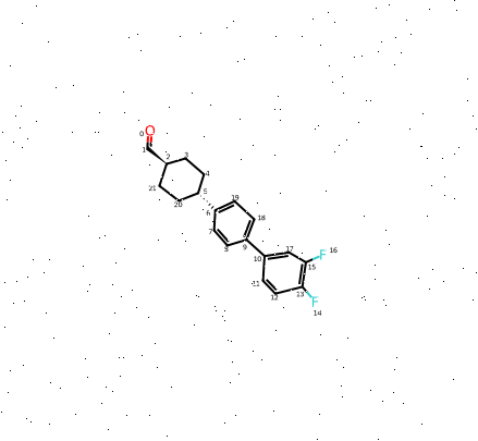 O=C[C@H]1CC[C@H](c2ccc(-c3ccc(F)c(F)c3)cc2)CC1